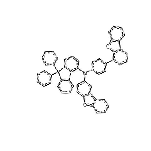 c1ccc(C2(c3ccccc3)c3ccccc3-c3c(N(c4ccc(-c5cccc6c5oc5ccccc56)cc4)c4ccc5oc6ccccc6c5c4)cccc32)cc1